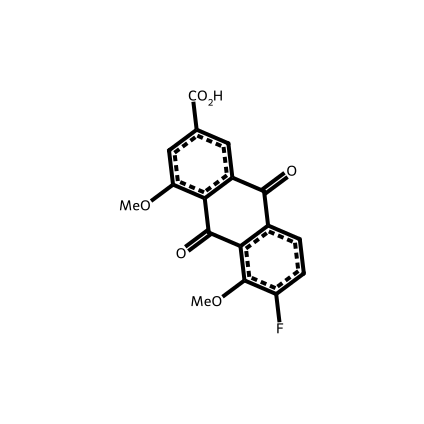 COc1cc(C(=O)O)cc2c1C(=O)c1c(ccc(F)c1OC)C2=O